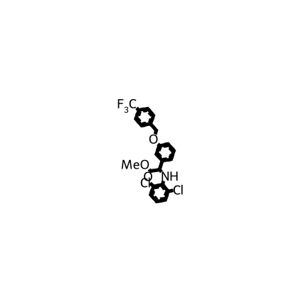 COC(=O)C(Nc1c(Cl)cccc1Cl)c1cccc(OCc2ccc(C(F)(F)F)cc2)c1